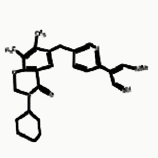 CN/C=C(\C=N)c1ccc(Cc2cc3c(c(C)c2C)OCN(C2CCCCC2)C3=O)cn1